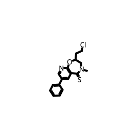 CN1CC(CCCl)Oc2ncc(-c3ccccc3)cc2C1=S